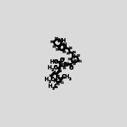 C=C(/C=C(\C=C/C)n1nc(C)cc1C)[C@H](CNC(=O)[C@@H]1CCCN(CCCc2ccc3c(n2)NCCC3)C1)C(=O)O